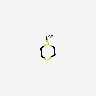 O=C(O)[SH]1CCSCC1